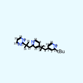 CC(C)(C)c1cc(CC(C)(C)c2ccnc(CC(C)(C)c3ncccn3)c2)ccn1